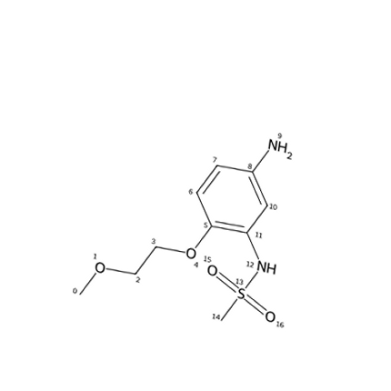 COCCOc1ccc(N)cc1NS(C)(=O)=O